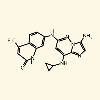 Nc1cnc2c(NC3CC3)cc(Nc3ccc4c(C(F)(F)F)cc(=O)[nH]c4c3)nn12